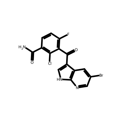 NC(=O)c1ccc(F)c(C(=O)c2c[nH]c3ncc(Br)cc23)c1Cl